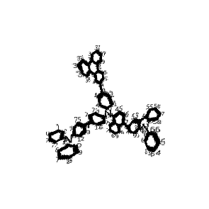 c1ccc(N(c2ccccc2)c2ccc(-c3ccc(N(c4ccc(-c5ccc6c7ccccc7c7ccccc7c6c5)cc4)c4ccc(-c5ccc6c(c5)c5ccccc5n6-c5ccccc5)c5ccccc45)cc3)cc2)cc1